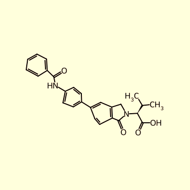 CC(C)[C@@H](C(=O)O)N1Cc2cc(-c3ccc(NC(=O)c4ccccc4)cc3)ccc2C1=O